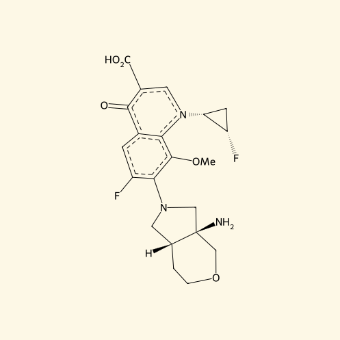 COc1c(N2C[C@H]3CCOC[C@@]3(N)C2)c(F)cc2c(=O)c(C(=O)O)cn([C@@H]3C[C@@H]3F)c12